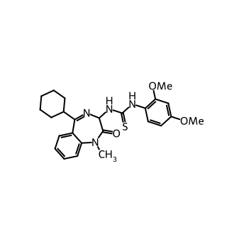 COc1ccc(NC(=S)NC2N=C(C3CCCCC3)c3ccccc3N(C)C2=O)c(OC)c1